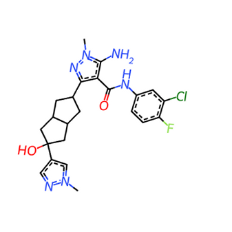 Cn1cc(C2(O)CC3CC(c4nn(C)c(N)c4C(=O)Nc4ccc(F)c(Cl)c4)CC3C2)cn1